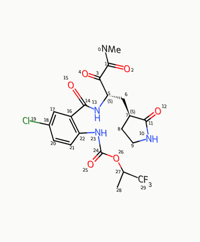 CNC(=O)C(=O)[C@H](C[C@@H]1CCNC1=O)NC(=O)c1cc(Cl)ccc1NC(=O)OC(C)C(F)(F)F